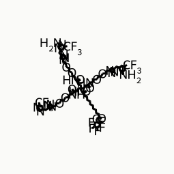 Nc1cc(C(F)(F)F)cc(Cc2cn(CCOCCOCCNC(=O)CCC(CCC(=O)NCCOCCOCCn3cc(Cc4cc(C(F)(F)F)ncn4)nn3)(CCC(=O)NCCOCCOCCn3cc(Cc4cc(C(F)(F)F)nc(N)n4)nn3)NC(=O)CCCCCCCCCCC(=O)Oc3c(F)c(F)c(F)c(F)c3F)nn2)n1